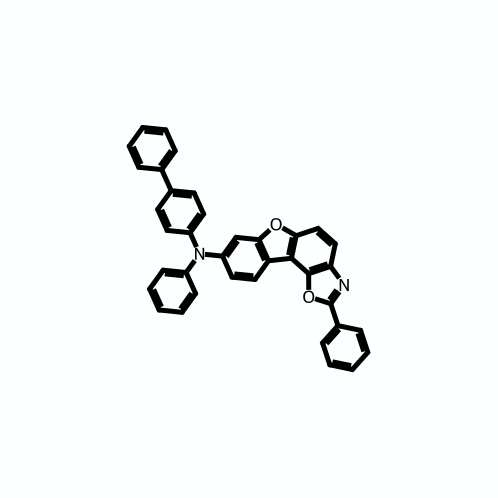 c1ccc(-c2ccc(N(c3ccccc3)c3ccc4c(c3)oc3ccc5nc(-c6ccccc6)oc5c34)cc2)cc1